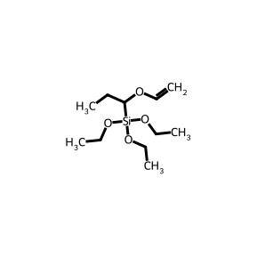 C=COC(CC)[Si](OCC)(OCC)OCC